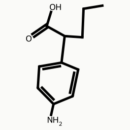 CCCC(C(=O)O)c1ccc(N)cc1